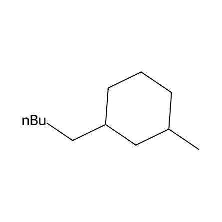 CCCCCC1CCCC(C)C1